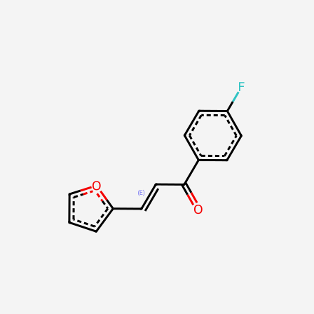 O=C(/C=C/c1ccco1)c1ccc(F)cc1